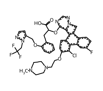 CN1CCN(CCOc2ccc3c(c2Cl)c2cc(F)ccc2c2cn4ncnc(OC(Cc5ccccc5OCc5ccnn5CC(F)(F)F)C(=O)O)c4c23)CC1